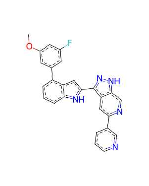 COc1cc(F)cc(-c2cccc3[nH]c(-c4n[nH]c5cnc(-c6cccnc6)cc45)cc23)c1